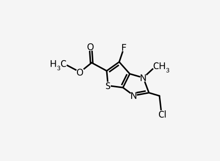 COC(=O)c1sc2nc(CCl)n(C)c2c1F